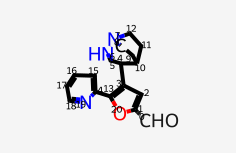 O=Cc1cc(C2CNN3CCC2CC3)c(-c2ccccn2)o1